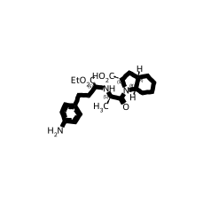 CCOC(=O)[C@H](CCc1ccc(N)cc1)N[C@@H](C)C(=O)N1[C@@H]2CCCC[C@@H]2C[C@H]1C(=O)O